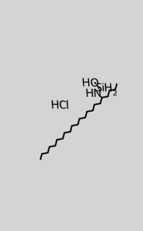 CCCCCCCCCCCCCCCCCC(CCCC)N[SiH2]O.Cl